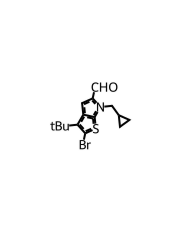 CC(C)(C)c1c(Br)sc2c1cc(C=O)n2CC1CC1